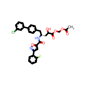 CC(=O)OCOC(=O)C(O)C[C@@H](Cc1ccc(-c2cccc(Cl)c2)cc1)NC(=O)c1cc(-c2ccccc2F)no1